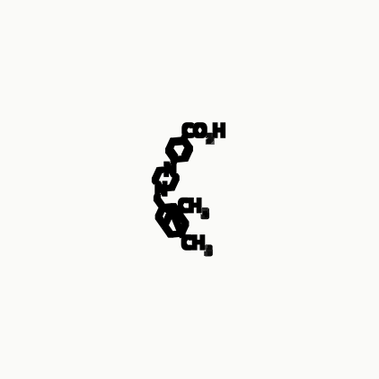 CC12CC3CC(C)(C1)CC(CN1CCN(c4ccc(C(=O)O)cc4)CC1)(C3)C2